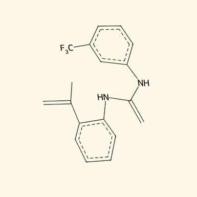 C=C(Nc1cccc(C(F)(F)F)c1)Nc1ccccc1C(=C)C